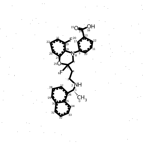 C[C@@H](NCCC1(F)CN(c2cccc(C(=O)O)c2)c2c(F)cccc2O1)c1cccc2ccccc12